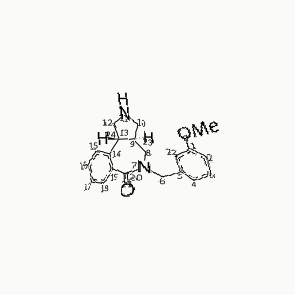 COc1cccc(CN2C[C@@H]3CNC[C@H]3c3ccccc3C2=O)c1